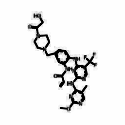 C=CC(=O)Nc1cc(CN2CCN(C(=O)CO)CC2)ccc1Nc1nc(Nc2nc(OC)ncc2C)ncc1C(F)(F)F